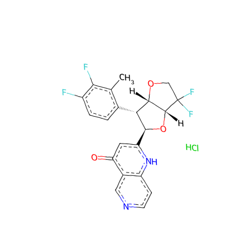 Cc1c([C@@H]2[C@@H]3OCC(F)(F)[C@@H]3O[C@H]2c2cc(=O)c3cnccc3[nH]2)ccc(F)c1F.Cl